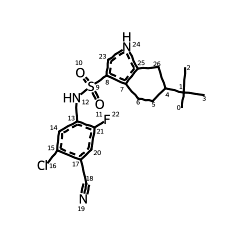 CC(C)(C)C1CCc2c(S(=O)(=O)Nc3cc(Cl)c(C#N)cc3F)c[nH]c2C1